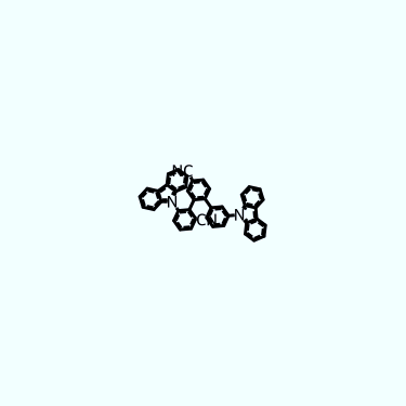 N#Cc1ccc(-c2cccc(-n3c4ccccc4c4ccccc43)c2)c(-c2c(C#N)cccc2-n2c3ccccc3c3ccccc32)c1